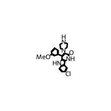 COc1cccc(-c2c(N3CCNCC3)c(=O)[nH]c3c2[nH]c2ccc(Cl)cc23)c1